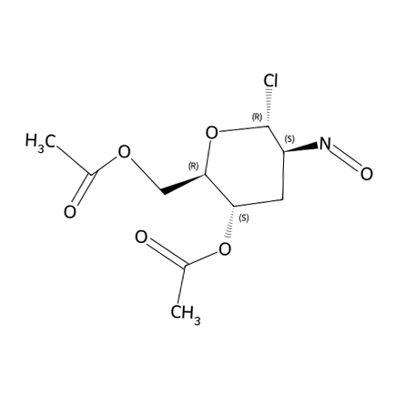 CC(=O)OC[C@H]1O[C@H](Cl)[C@@H](N=O)C[C@@H]1OC(C)=O